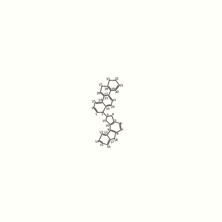 C1=CC(C2Cc3ccc4c(c3C2)-c2ccccc2C4)c2ccc3c(c2=C1)=CCC1=C3C=CCC1